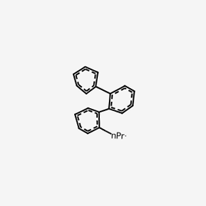 CC[CH]c1ccccc1-c1ccccc1-c1ccccc1